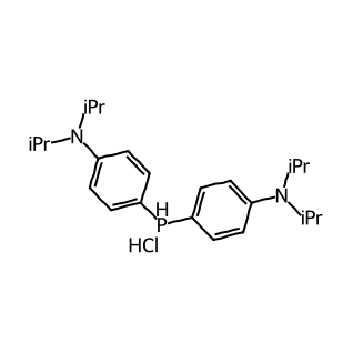 CC(C)N(c1ccc(Pc2ccc(N(C(C)C)C(C)C)cc2)cc1)C(C)C.Cl